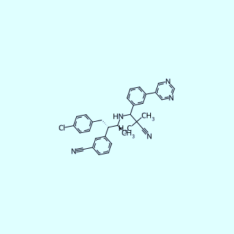 C[C@H](NC(c1cccc(-c2cncnc2)c1)C(C)(C)C#N)[C@@H](Cc1ccc(Cl)cc1)c1cccc(C#N)c1